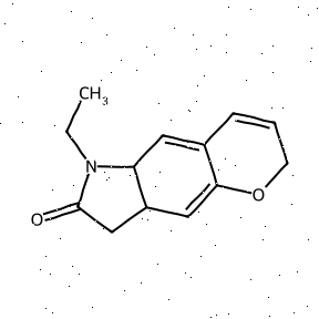 CCN1C(=O)CC2C=C3OCC=CC3=CC21